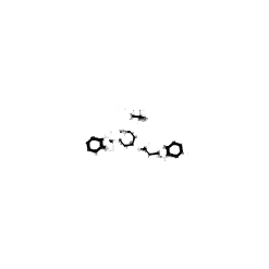 CN1CC[C@@H](NC(=O)Cc2nc3ccccc3o2)C[C@@H]1c1nc2ccccc2[nH]1.O=C(O)C(F)(F)F